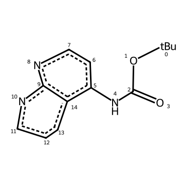 CC(C)(C)OC(=O)Nc1ccnc2ncccc12